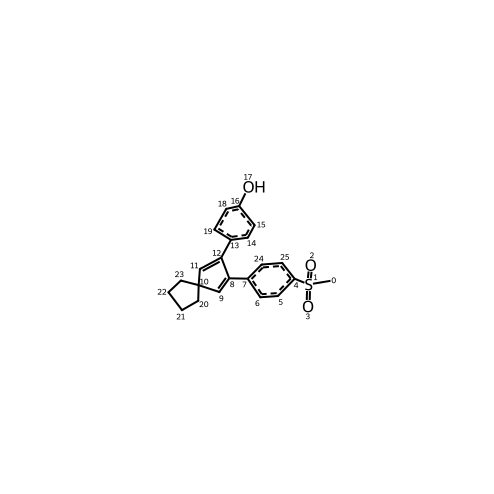 CS(=O)(=O)c1ccc(C2=CC3(C=C2c2ccc(O)cc2)CCCC3)cc1